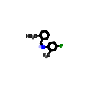 O=C(O)c1ccccc1/C=N\c1ccc(F)cc1C(F)(F)F